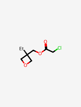 CCC1(COC(=O)CCl)COC1